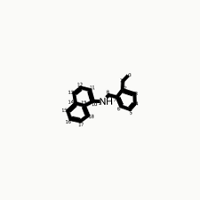 CCc1ccccc1CNc1cccc2ccccc12